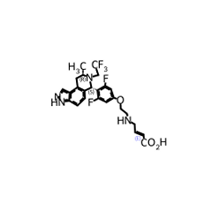 C[C@@H]1Cc2c(ccc3[nH]ncc23)[C@@H](c2c(F)cc(OCCNC/C=C/C(=O)O)cc2F)N1CC(F)(F)F